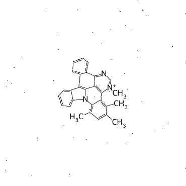 Cc1cc(C)c2c(c1C)c1c3c(nc[n+]1C)c1ccccc1c1c4ccccc4n2c13